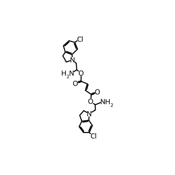 NC(CN1CCc2ccc(Cl)cc21)OC(=O)/C=C/C(=O)OC(N)CN1CCc2ccc(Cl)cc21